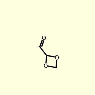 O=[C]C1OCO1